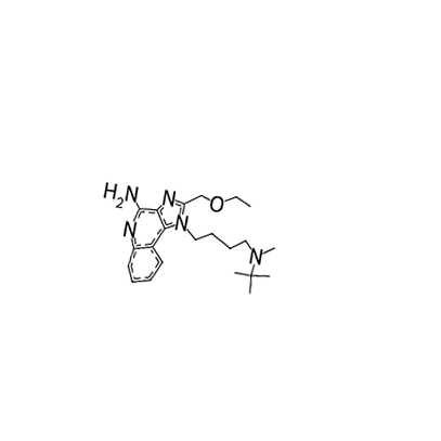 CCOCc1nc2c(N)nc3ccccc3c2n1CCCCN(C)C(C)(C)C